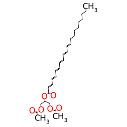 CCCCCCCCCC=CC=CC=CC=CC=CC=CC(=O)OC(COC(C)=O)COC(C)=O